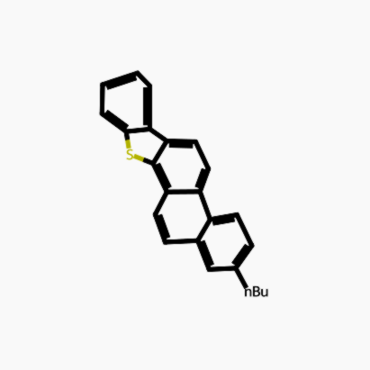 CCCCc1ccc2c(ccc3c2ccc2c4ccccc4sc23)c1